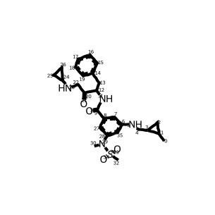 CC1CC1CNc1cc(C(=O)NC(Cc2ccccc2)C(=O)CNC2CC2)cc(N(C)S(C)(=O)=O)c1